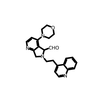 O=CC1c2c(N3CCOCC3)ccnc2CN1CCc1ccnc2ccccc12